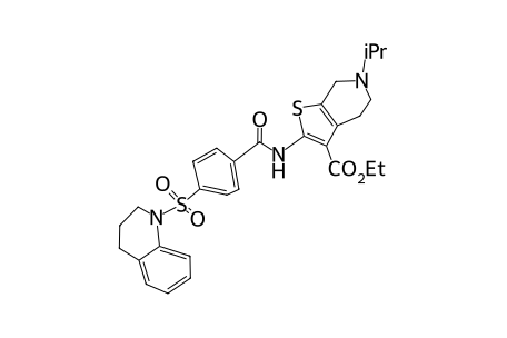 CCOC(=O)c1c(NC(=O)c2ccc(S(=O)(=O)N3CCCc4ccccc43)cc2)sc2c1CCN(C(C)C)C2